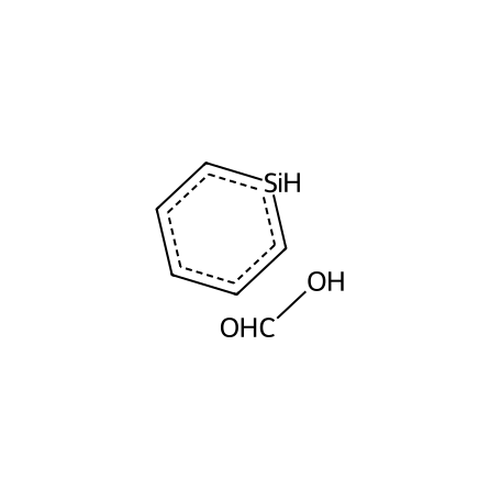 O=CO.c1cc[siH]cc1